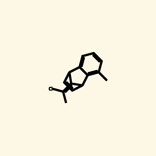 C/C(Cl)=C1/C2C=CC1c1c(C)cccc12